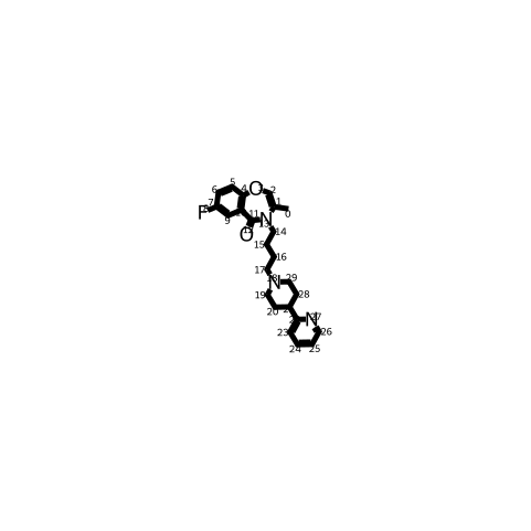 CC1=COc2ccc(F)cc2C(=O)N1CCCCN1CCC(c2ccccn2)CC1